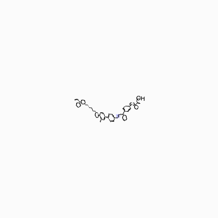 C=CC(=O)OCCCCCCOc1ccc(-c2ccc(/C=C/C(=O)c3ccc(OC(=O)C(=C)CO)cc3)cc2)cc1C